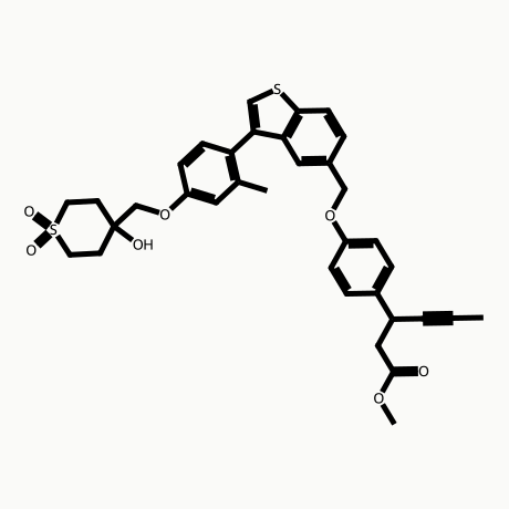 CC#CC(CC(=O)OC)c1ccc(OCc2ccc3scc(-c4ccc(OCC5(O)CCS(=O)(=O)CC5)cc4C)c3c2)cc1